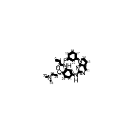 C=CC(=O)Nc1cc(Nc2ncc3ccn(-c4cccc(F)c4)c3n2)ccc1OCCN(C)C